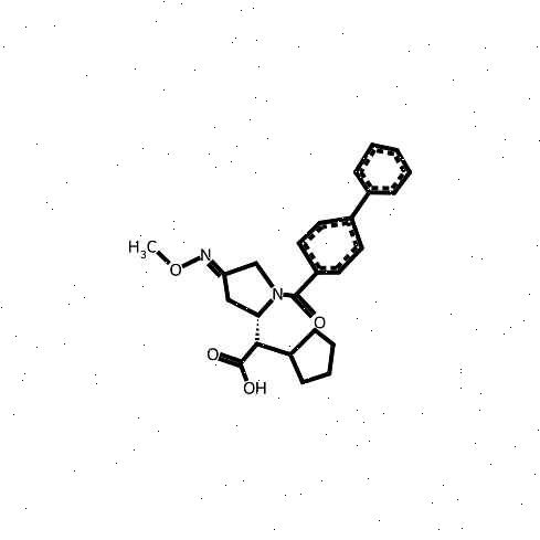 CO/N=C1\C[C@@H](C(C(=O)O)C2CCCC2)N(C(=O)c2ccc(-c3ccccc3)cc2)C1